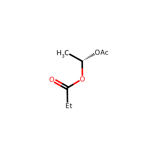 CCC(=O)O[C@H](C)OC(C)=O